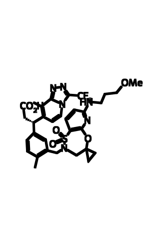 COCCCNc1ccc2c(n1)OC1(CC1)CN(Cc1cc([C@H](CC(=O)O)c3ccn4c(C(F)(F)F)nnc4c3C)ccc1C)S2(=O)=O